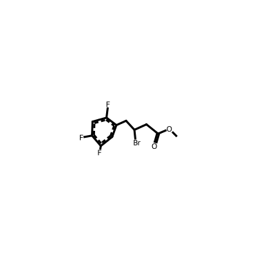 COC(=O)CC(Br)Cc1cc(F)c(F)cc1F